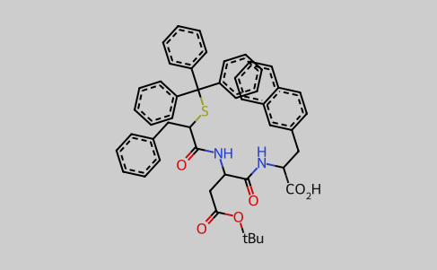 CC(C)(C)OC(=O)CC(NC(=O)C(Cc1ccccc1)SC(c1ccccc1)(c1ccccc1)c1ccccc1)C(=O)NC(Cc1ccc2ccccc2c1)C(=O)O